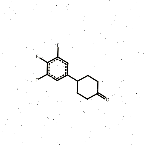 O=C1CCC(c2cc(F)c(F)c(F)c2)CC1